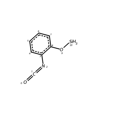 O=C=Nc1ccccc1O[SiH3]